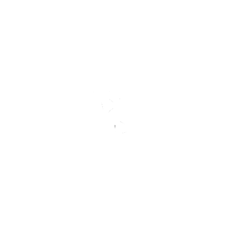 CCCC(c1cc(C(C)(C)C)c(OC(C)OCC)cc1C)c1cc(C(C)(C)C)c(OC(C)OCC)cc1C